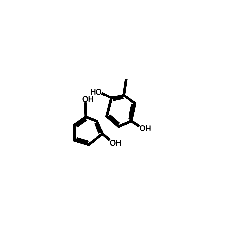 Cc1cc(O)ccc1O.Oc1cccc(O)c1